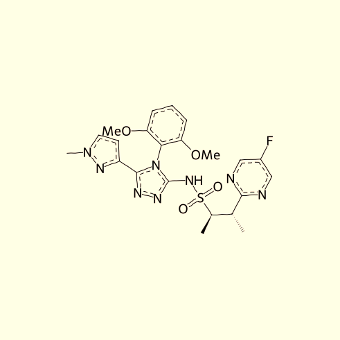 COc1cccc(OC)c1-n1c(NS(=O)(=O)[C@H](C)[C@@H](C)c2ncc(F)cn2)nnc1-c1ccn(C)n1